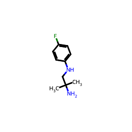 CC(C)(N)CNc1ccc(F)cc1